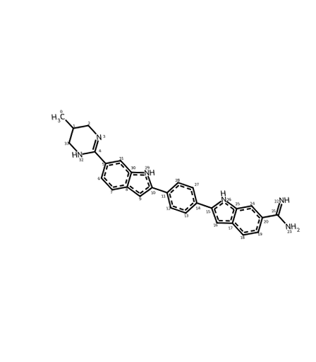 CC1CN=C(c2ccc3cc(-c4ccc(-c5cc6ccc(C(=N)N)cc6[nH]5)cc4)[nH]c3c2)NC1